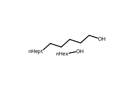 CCCCCCCCCCCCO.CCCCCCO